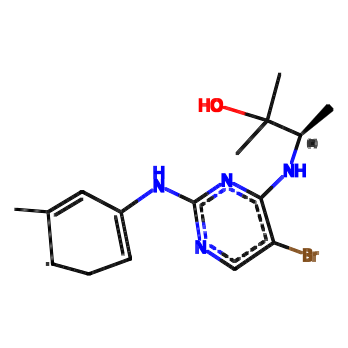 CC1=CC(Nc2ncc(Br)c(N[C@H](C)C(C)(C)O)n2)=CC[CH]1